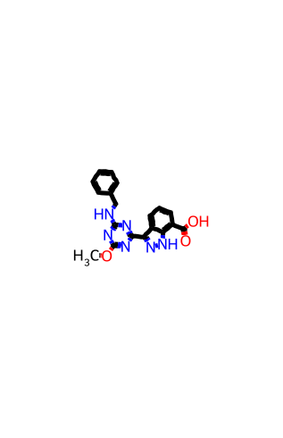 COc1nc(NCc2ccccc2)nc(-c2n[nH]c3c(C(=O)O)cccc23)n1